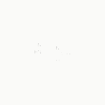 O=S(=O)=Nc1cn[nH]c1